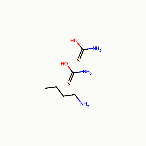 CCCCN.NC(O)=S.NC(O)=S